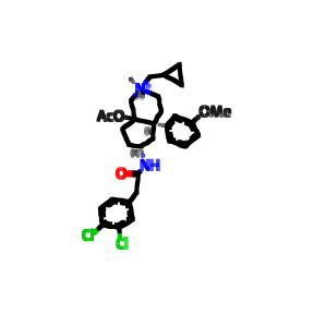 COc1cccc([C@@]23CC[N@+](C)(CC4CC4)CC2(OC(C)=O)CC[C@@H](NC(=O)Cc2ccc(Cl)c(Cl)c2)C3)c1